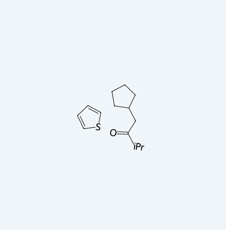 CC(C)C(=O)CC1CCCC1.c1ccsc1